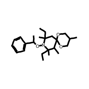 CCC1(C)CC2(OCC(C)CO2)C(C)C(C)(CC)N1OC(C)c1ccccc1